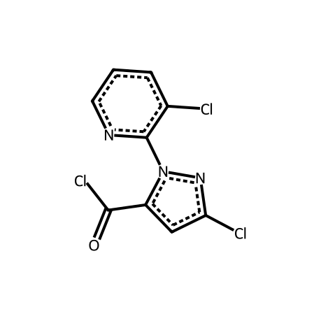 O=C(Cl)c1cc(Cl)nn1-c1ncccc1Cl